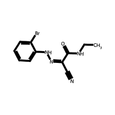 CCNC(=O)C(C#N)=NNc1ccccc1Br